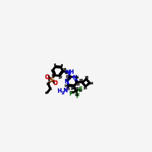 CCCS(=O)(=O)c1cccc(Nc2nc(N)c(C(F)(F)F)c(C3CCC3)n2)c1